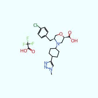 Cn1cc(C2CCC(N3C[C@H](C(=O)O)OC[C@@H]3Cc3ccc(Cl)cc3)CC2)nn1.O=C(O)C(F)(F)F